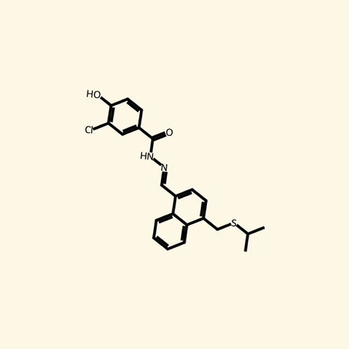 CC(C)SCc1ccc(/C=N/NC(=O)c2ccc(O)c(Cl)c2)c2ccccc12